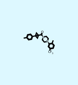 Cc1ccc(C23CC2(C(=O)N2CCN(c4cc(C(F)(F)F)ccc4C)CC2)C3)cc1